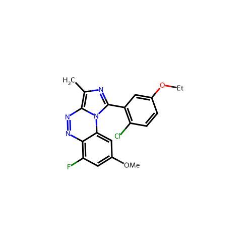 CCOc1ccc(Cl)c(-c2nc(C)c3nnc4c(F)cc(OC)cc4n23)c1